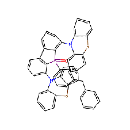 O=P1(c2cccc(Cc3ccccc3)c2)c2c(cccc2N2c3ccccc3Sc3ccccc32)-c2cccc(N3c4ccccc4Sc4ccccc43)c21